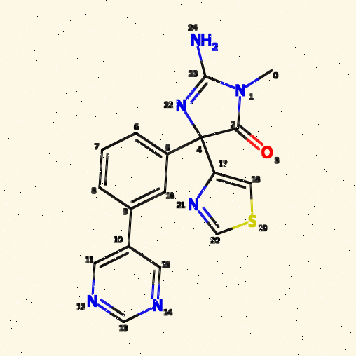 CN1C(=O)C(c2cccc(-c3cncnc3)c2)(c2cscn2)N=C1N